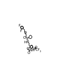 O=C1COc2c(CCNCCN(C(=O)CCOCCc3ccc(F)cc3F)C3CCCCC3)ccc(OC(=O)C(F)(F)F)c2N1